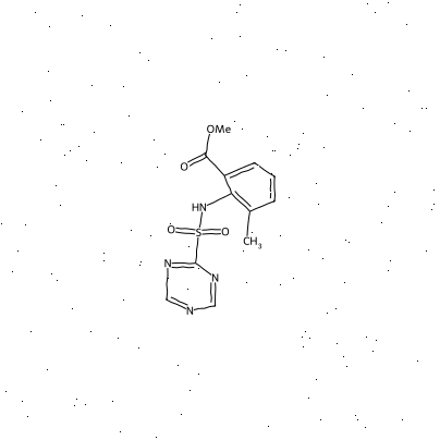 COC(=O)c1cccc(C)c1NS(=O)(=O)c1ncncn1